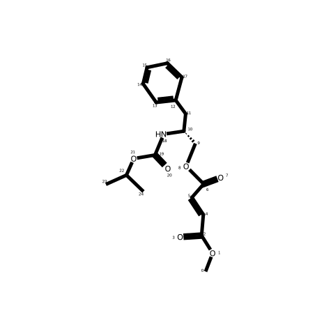 COC(=O)/C=C/C(=O)OC[C@@H](Cc1ccccc1)NC(=O)OC(C)C